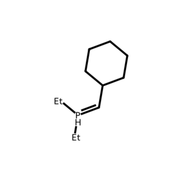 CC[PH](=CC1CCCCC1)CC